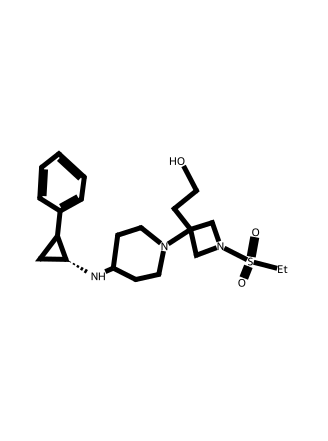 CCS(=O)(=O)N1CC(CCO)(N2CCC(N[C@@H]3CC3c3ccccc3)CC2)C1